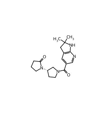 CC1(C)Cc2cc(C(=O)N3CC[C@H](N4CCCC4=O)C3)cnc2N1